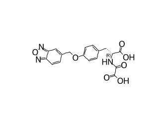 O=C(O)C(=O)N[C@H](Cc1ccc(OCc2ccc3nonc3c2)cc1)C(=O)O